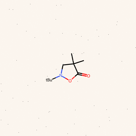 CC1(C)CN(C(C)(C)C)OC1=O